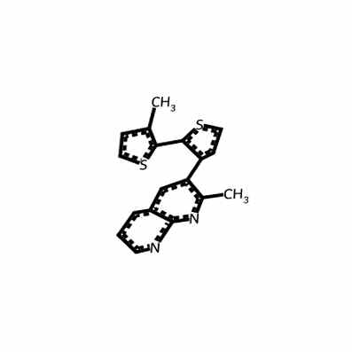 Cc1ccsc1-c1sccc1-c1cc2cccnc2nc1C